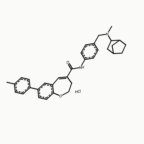 Cc1ccc(-c2ccc3c(c2)C=C(C(=O)Nc2ccc(CN(C)C4CC5CCC4C5)cc2)CCO3)cc1.Cl